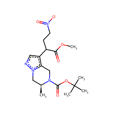 COC(=O)C(CC[N+](=O)[O-])c1cnn2c1CN(C(=O)OC(C)(C)C)[C@@H](C)C2